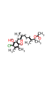 CC(=O)OC(C)/C(C)=C/CC/C(C)=C/Cc1c(O)c(C)c(C)c(Cl)c1O